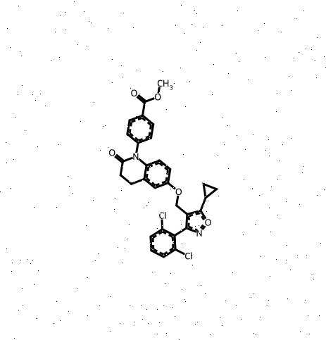 COC(=O)c1ccc(N2C(=O)CCc3cc(OCc4c(-c5c(Cl)cccc5Cl)noc4C4CC4)ccc32)cc1